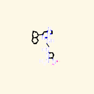 Nc1nc(NCCNc2nc(-c3cccc4ccccc34)cc3nccn23)ccc1[N+](=O)[O-]